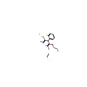 CCCC(=O)C1=C(COCCN)NC(C)=C(C(=O)OC)C1c1ccccc1Cl